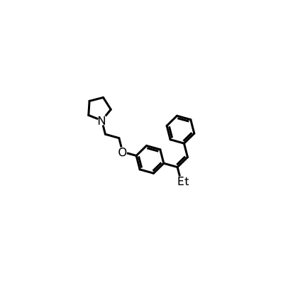 CCC(=Cc1ccccc1)c1ccc(OCCN2CCCC2)cc1